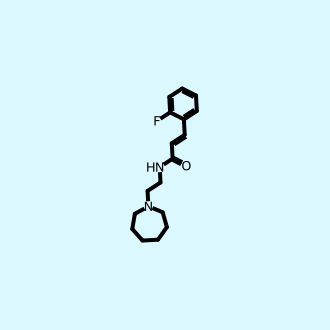 O=C(/C=C/c1ccccc1F)NCCN1CCCCCC1